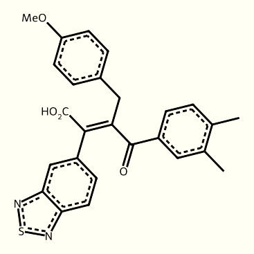 COc1ccc(C/C(C(=O)c2ccc(C)c(C)c2)=C(\C(=O)O)c2ccc3nsnc3c2)cc1